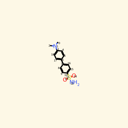 CN(C)c1ccc(-c2ccc(S(N)(=O)=O)cc2)cc1